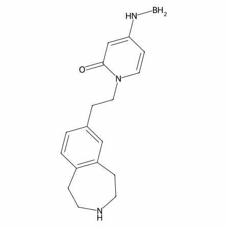 BNc1ccn(CCc2ccc3c(c2)CCNCC3)c(=O)c1